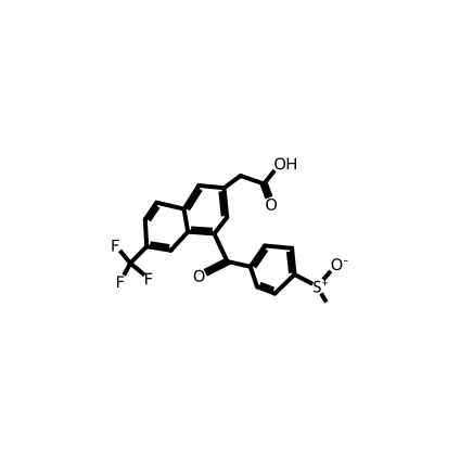 C[S+]([O-])c1ccc(C(=O)c2cc(CC(=O)O)cc3ccc(C(F)(F)F)cc23)cc1